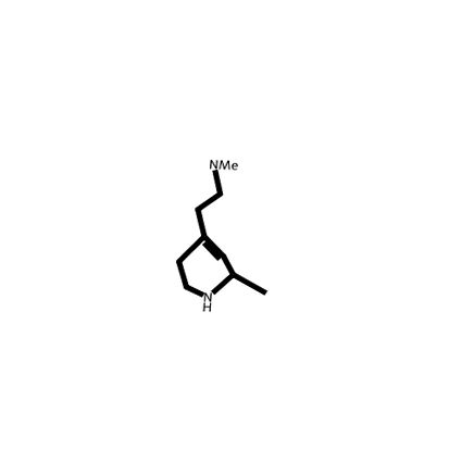 CNCCC1=CC(C)NCC1